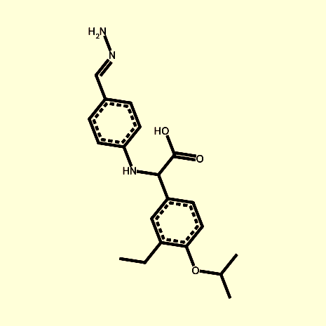 CCc1cc(C(Nc2ccc(C=NN)cc2)C(=O)O)ccc1OC(C)C